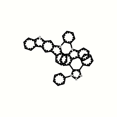 c1ccc(-c2nnn(-c3ccccc3)c2-c2cccc3c2c2ccccc2n3-c2ccccc2-n2c3ccccc3c3cc4c(cc32)oc2ccccc24)cc1